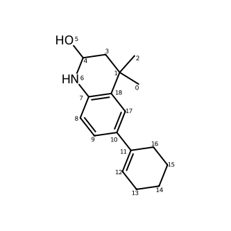 CC1(C)CC(O)Nc2ccc(C3=CCCCC3)cc21